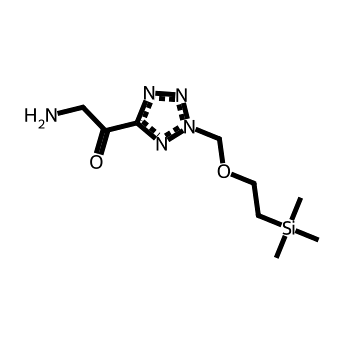 C[Si](C)(C)CCOCn1nnc(C(=O)CN)n1